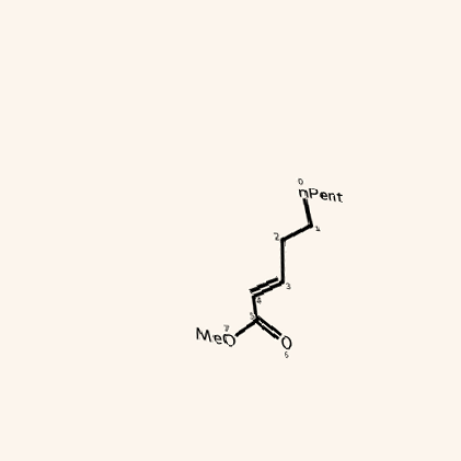 [CH2]CCCCCC/C=C/C(=O)OC